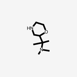 CN(C)C(C)(C)C1CNCCO1